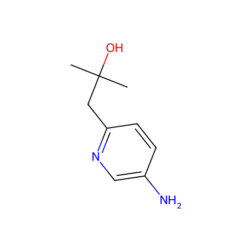 CC(C)(O)Cc1ccc(N)cn1